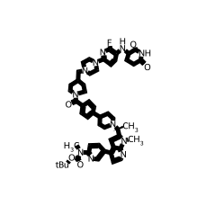 C[C@@H](c1cc2c(-c3ccc(N(C)C(=O)OC(C)(C)C)nc3)ccnc2n1C)N1CCC(c2ccc(C(=O)N3CCC(CN4CCN(c5ccc(NC6CCC(=O)NC6=O)c(F)n5)CC4)CC3)cc2)CC1